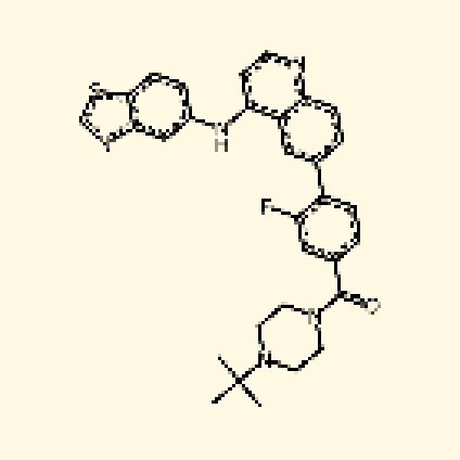 CC(C)(C)N1CCN(C(=O)c2ccc(-c3ccc4nccc(Nc5ccc6scnc6c5)c4c3)c(F)c2)CC1